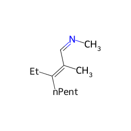 CCCCC/C(CC)=C(C)/C=N\C